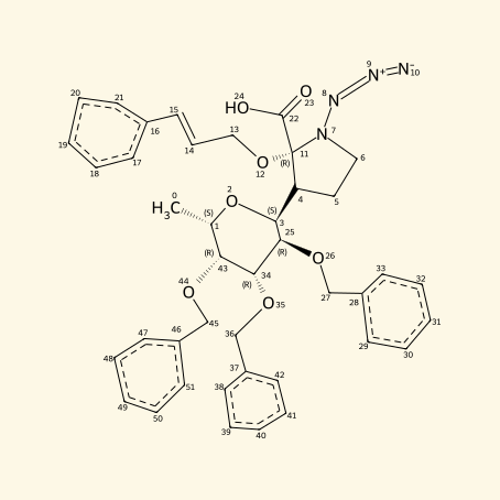 C[C@@H]1O[C@@H](C2CCN(N=[N+]=[N-])[C@]2(OCC=Cc2ccccc2)C(=O)O)[C@@H](OCc2ccccc2)[C@H](OCc2ccccc2)[C@@H]1OCc1ccccc1